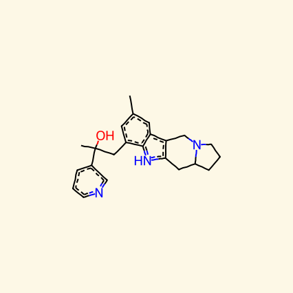 Cc1cc(CC(C)(O)c2cccnc2)c2[nH]c3c(c2c1)CN1CCCC1C3